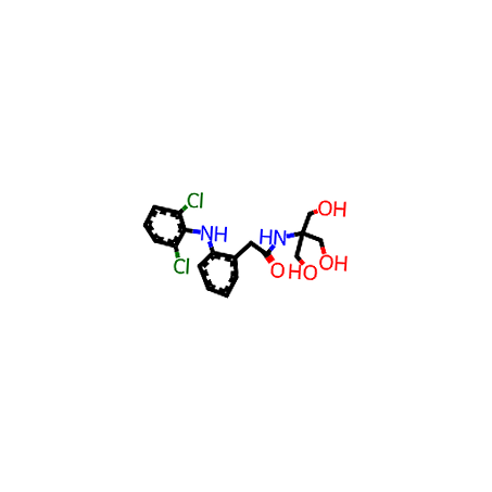 O=C(Cc1ccccc1Nc1c(Cl)cccc1Cl)NC(CO)(CO)CO